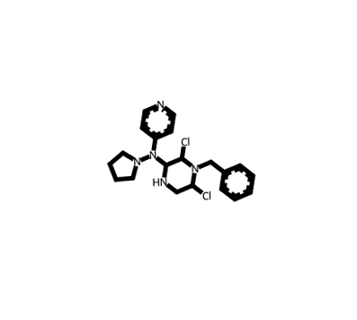 ClC1CNC(N(c2ccncc2)N2CCCC2)C(Cl)N1Cc1ccccc1